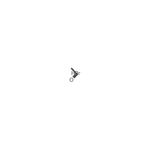 Br.CC=O